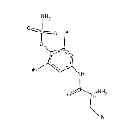 CC(C)C[C@@H](N)C(=O)Nc1cc(C(C)C)c(OS(N)(=O)=O)c(C(C)C)c1